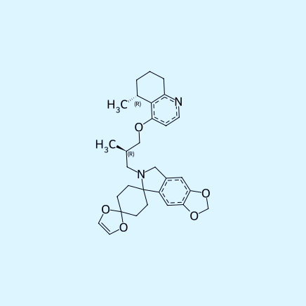 C[C@@H](COc1ccnc2c1[C@H](C)CCC2)CN1Cc2cc3c(cc2C12CCC1(CC2)OC=CO1)OCO3